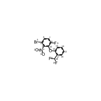 O=[N+]([O-])c1c(Br)ccc(F)c1Oc1ccccc1C(F)F